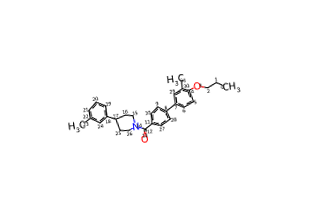 CCCOc1ccc(-c2ccc(C(=O)N3CCC(c4cccc(C)c4)CC3)cc2)cc1C